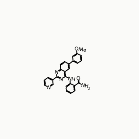 COc1cccc(-c2ccc3nc(-c4cccnc4)nc(Nc4ccccc4C(N)=O)c3c2)c1